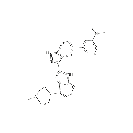 CN1CCN(c2cccc3[nH]c(-c4n[nH]c5ccc(-c6cncc(N(C)C)c6)cc45)cc23)CC1